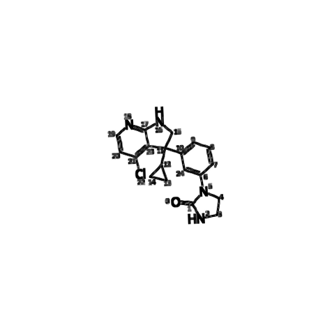 O=C1NCCN1c1cccc(C2(C3CC3)CNc3nccc(Cl)c32)c1